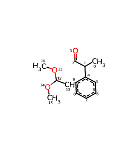 CC(C=O)c1ccccc1.COC(C)OC